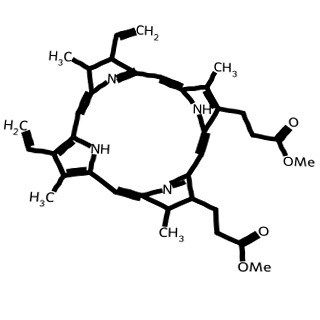 C=Cc1c(C)c2cc3nc(cc4[nH]c(cc5nc(cc1[nH]2)C(C)C5C=C)c(C)c4CCC(=O)OC)C(CCC(=O)OC)C3C